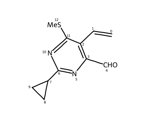 C=Cc1c(C=O)nc(C2CC2)nc1SC